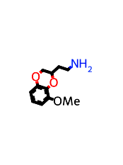 COc1cccc2c1OC(CCN)CO2